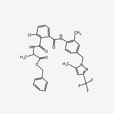 Cc1cc(Cn2nc(C(F)(F)F)cc2C)ccc1NC(=O)c1cccc(Cl)c1C(=O)NC(C)C(=O)OCc1ccccc1